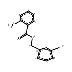 Cc1ccccc1C(=O)OCc1cccc(F)c1